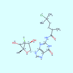 CC(CC[Si](C)(Cl)C(C)(C)C)C(=O)Nc1nc2c(ncn2[C@@H]2O[C@@H]3C(O)[C@]3(F)[C@H]2O)c(=O)[nH]1